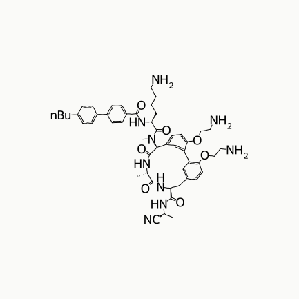 CCCCc1ccc(-c2ccc(C(=O)N[C@@H](CCCCN)C(=O)N(C)[C@@H]3C(=O)N[C@@H](C)C(=O)N[C@H](C(=O)N[C@@H](C)C#N)Cc4ccc(OCCN)c(c4)-c4cc3ccc4OCCN)cc2)cc1